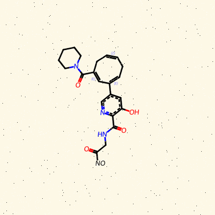 O=NC(=O)CNC(=O)c1ncc(C2=C/C/C=C\C/C(C(=O)N3CCCCC3)=C\2)cc1O